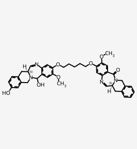 COc1cc2c(cc1OCCCCCOc1cc3c(cc1OC)C(O)N1Cc4cc(O)ccc4C[C@H]1C=N3)N=C[C@@H]1Cc3ccccc3CN1C2=O